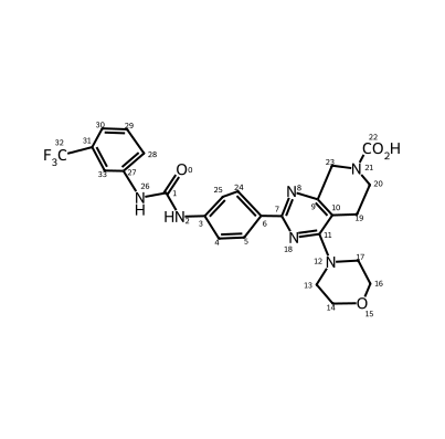 O=C(Nc1ccc(-c2nc3c(c(N4CCOCC4)n2)CCN(C(=O)O)C3)cc1)Nc1cccc(C(F)(F)F)c1